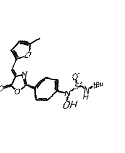 Cc1ccc(/C=C2\N=C(c3ccc(N(O)[S+]([O-])NC(C)(C)C)cc3)OC2=O)o1